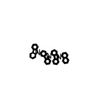 C1=CC2c3ccccc3N(c3ccc4c(c3)c3ccccc3n4-c3cccc4c3c3ccccc3n4-c3cccc4ccccc34)C2C=C1